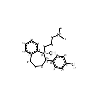 CN(C)CCC[C@]1(O)c2ccccc2CCC[C@@H]1c1ccc(Cl)cc1